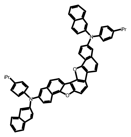 CC(C)c1ccc(N(c2ccc3ccccc3c2)c2ccc3c(ccc4c5ccc6oc7c8ccc(N(c9ccc(C(C)C)cc9)c9ccc%10ccccc%10c9)cc8ccc7c6c5oc34)c2)cc1